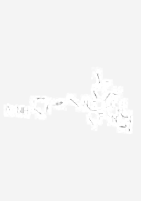 C=C/C(=N\C=C\C#Cc1ccc(NC(C)=O)cc1)C(F)(F)C(O)(Cn1cnnn1)C(/C=C\C(=C)F)=C\F